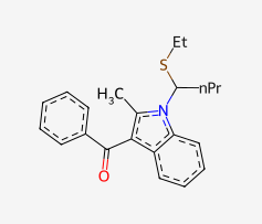 CCCC(SCC)n1c(C)c(C(=O)c2ccccc2)c2ccccc21